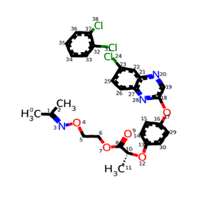 CC(C)=NOCCOC(=O)[C@@H](C)Oc1ccc(Oc2cnc3cc(Cl)ccc3n2)cc1.Clc1ccccc1Cl